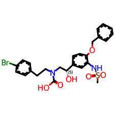 CS(=O)(=O)Nc1cc([C@H](O)CN(CCc2ccc(Br)cc2)C(=O)O)ccc1OCc1ccccc1